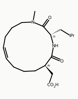 CC(C)C[C@@H]1NC(=O)[C@@H](CC(=O)O)CCCC=CCCCN(C)C1=O